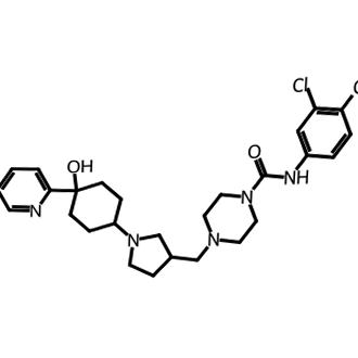 O=C(Nc1ccc(Cl)c(Cl)c1)N1CCN(CC2CCN(C3CCC(O)(c4ccccn4)CC3)C2)CC1